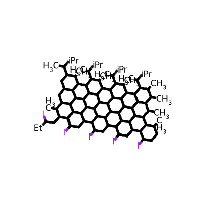 CCC(I)CC1C(C)C2CC3CC(C(C)C(C)C)C(C)C4C3C3C2C2C1C(I)CC1C5C(I)CC6C7C(I)CC8C9C(I)CCC(C)C9C9C(C)C%10C(C)C(C)C(C(C)C(C)C)C%11C%12C(C)C(C(C)C(C)C)C%13C%14C(C)C(C(C)C(C)C)C4C4C%14C%14C(C5C6C5C6C7C8C9C(C%10%11)C6C%12C%13C5%14)C(C12)C34